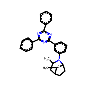 CC1CC2CCC1CC(C)N2c1cccc(-c2nc(-c3ccccc3)nc(-c3ccccc3)n2)c1